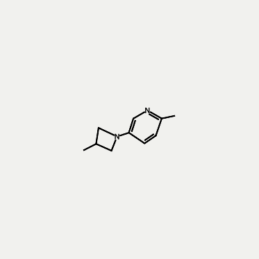 Cc1ccc(N2CC(C)C2)cn1